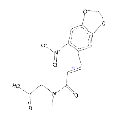 CN(CC(=O)O)C(=O)/C=C/c1cc2c(cc1[N+](=O)[O-])OCO2